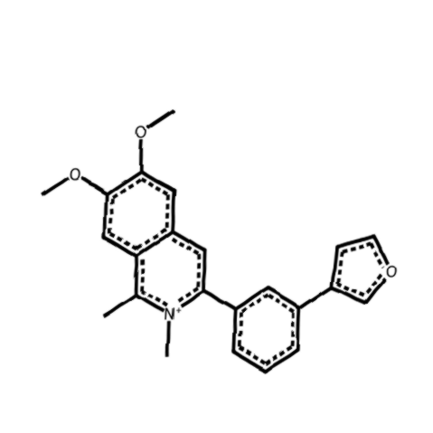 COc1cc2cc(-c3cccc(-c4ccoc4)c3)[n+](C)c(C)c2cc1OC